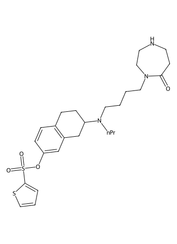 CCCN(CCCCN1CCNCCC1=O)C1CCc2ccc(OS(=O)(=O)c3cccs3)cc2C1